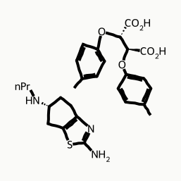 CCCN[C@@H]1CCc2nc(N)sc2C1.Cc1ccc(O[C@H](C(=O)O)[C@H](Oc2ccc(C)cc2)C(=O)O)cc1